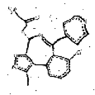 Cc1noc2c1-c1cccc(Cl)c1C(c1ccncc1)=N[C@H]2CC(N)=O